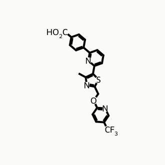 Cc1nc(COc2ccc(C(F)(F)F)cn2)sc1-c1cccc(-c2ccc(C(=O)O)cc2)n1